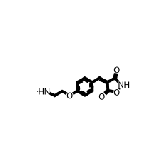 [NH]CCOc1ccc(C=C2C(=O)NOC2=O)cc1